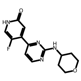 O=c1cc(-c2ccnc(NC3CCOCC3)n2)c(F)c[nH]1